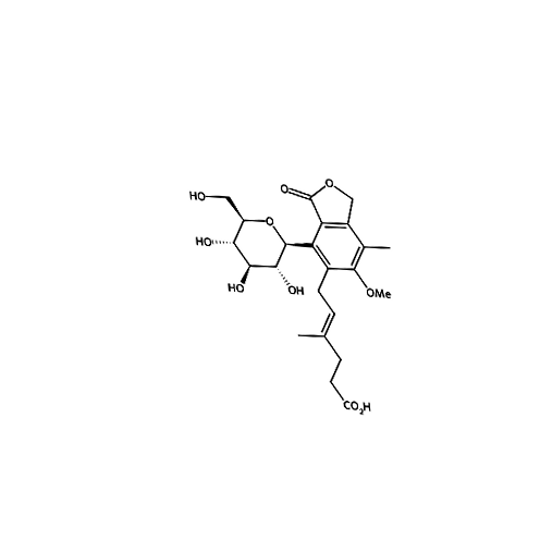 COc1c(C)c2c(c([C@@H]3O[C@H](CO)[C@@H](O)[C@H](O)[C@H]3O)c1C/C=C(\C)CCC(=O)O)C(=O)OC2